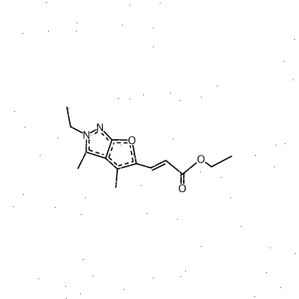 CCOC(=O)/C=C/c1oc2nn(CC)c(C)c2c1C